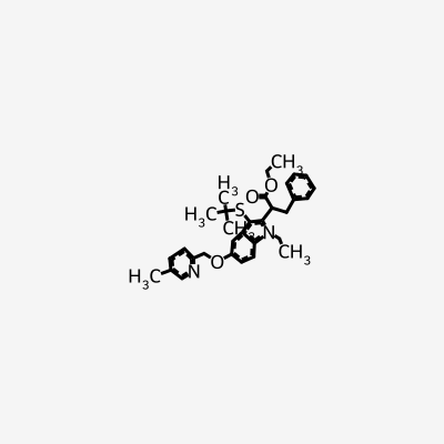 CCOC(=O)C(Cc1ccccc1)c1c(SC(C)(C)C)c2cc(OCc3ccc(C)cn3)ccc2n1CC